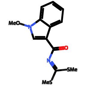 COn1cc(C(=O)N=C(SC)SC)c2ccccc21